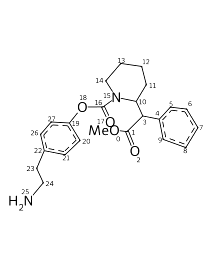 COC(=O)C(c1ccccc1)C1CCCCN1C(=O)Oc1ccc(CCN)cc1